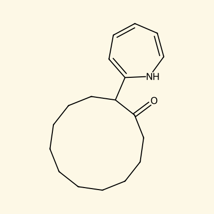 O=C1CCCCCCCCCCC1C1=CC=CC=CN1